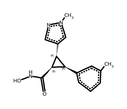 Cc1cccc([C@H]2[C@@H](C(=O)NO)[C@@H]2c2cnn(C)c2)c1